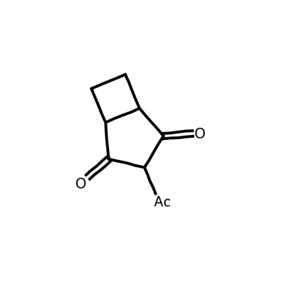 CC(=O)C1C(=O)C2CCC2C1=O